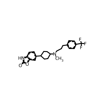 CN(CCCc1ccc(C(F)(F)F)cc1)C1CCC(c2ccc3[nH]c(=O)oc3c2)CC1